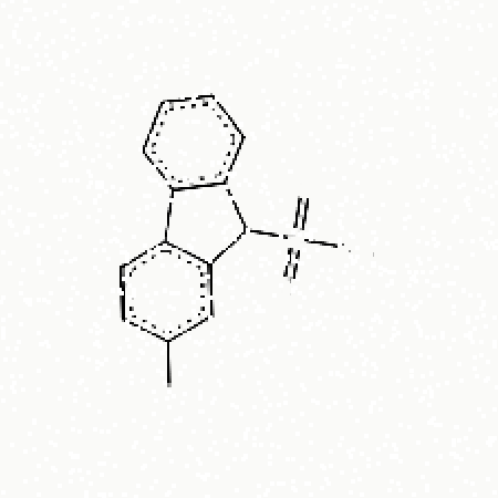 NS(=O)(=O)C1c2ccccc2-c2ccc(F)cc21